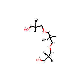 CCCC(C)(CO)COCC(C)(CCC)COCC(C)(C)CO